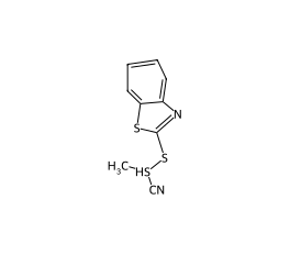 C[SH](C#N)Sc1nc2ccccc2s1